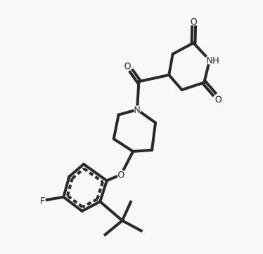 CC(C)(C)c1cc(F)ccc1OC1CCN(C(=O)C2CC(=O)NC(=O)C2)CC1